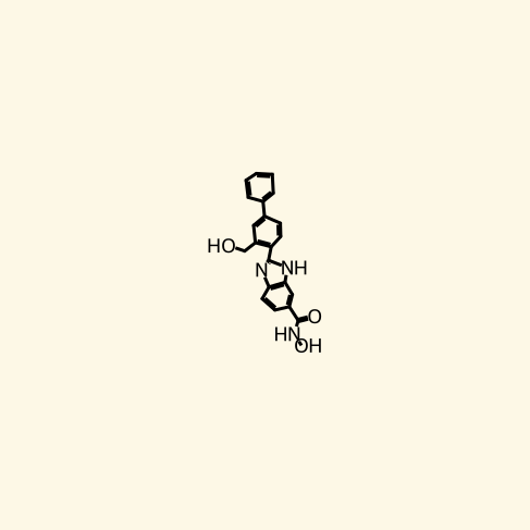 O=C(NO)c1ccc2nc(-c3ccc(-c4ccccc4)cc3CO)[nH]c2c1